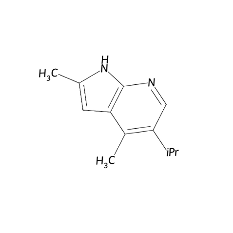 Cc1cc2c(C)c(C(C)C)cnc2[nH]1